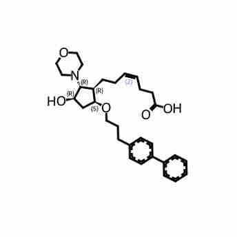 O=C(O)CC/C=C\CC[C@@H]1[C@@H](N2CCOCC2)[C@H](O)C[C@@H]1OCCCc1ccc(-c2ccccc2)cc1